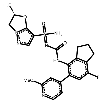 COc1cc(-c2cc(F)c3c(c2NC(=O)N=S(N)(=O)c2cnn4c2O[C@@H](C)C4)CCC3)ccn1